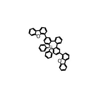 c1ccc([Si]2(c3ccccc3)c3ccc(-c4cccc5c4oc4ccccc45)cc3-c3ccccc3-c3cc(-c4cccc5c4oc4ccccc45)ccc32)cc1